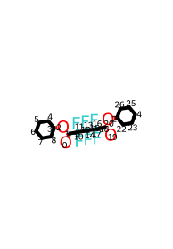 O=C(OC1CCCCC1)C(F)(F)C(F)(F)C(F)(F)C(=O)OC1CCCCC1